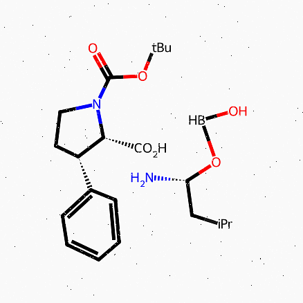 CC(C)(C)OC(=O)N1CC[C@@H](c2ccccc2)[C@H]1C(=O)O.CC(C)C[C@H](N)OBO